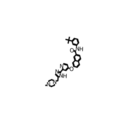 CN1CCN(Cc2cnc(-c3cc(Oc4ccc5ccc(C(=O)Nc6cccc(C(C)(C)C)c6)cc5c4)ccn3)[nH]2)CC1